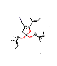 CC=C(C)[SiH2]O[Si](CCCI)(O[SiH2]C(C)=CC)O[SiH2]C(C)=CC